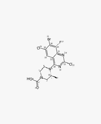 C[C@H]1CN(C(=O)O)CCN1c1nc(Cl)nc2c(F)c(Br)c(Cl)cc12